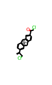 C=C(CCl)c1ccc2c(c1)C1CCC2c2cc(C(=O)CCl)ccc21